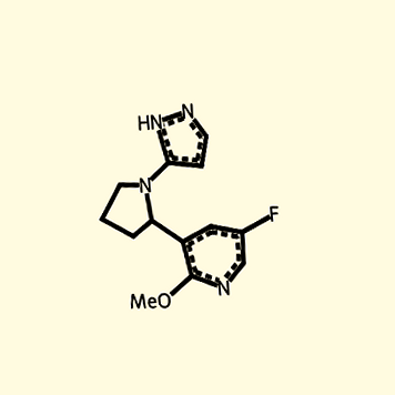 COc1ncc(F)cc1C1CCCN1c1ccn[nH]1